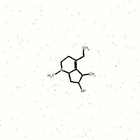 CCC1=C2C(C)C(O)CC2N(C)CC1